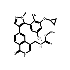 Cn1ncc(-c2ccc3c(=O)[nH]cc(CNC(=O)OC(C)(C)C)c3c2)c1-c1cc(C(F)(F)F)cc(OC2CC2)c1C#N